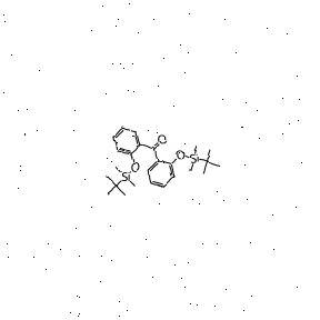 CC(C)(C)[Si](C)(C)Oc1ccccc1C(=O)c1ccccc1O[Si](C)(C)C(C)(C)C